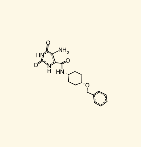 Nc1c(C(=O)N[C@H]2CC[C@@H](OCc3ccccc3)CC2)[nH]c(=O)[nH]c1=O